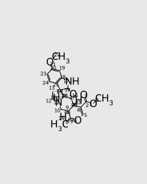 COC(=O)C1=CO[C@@H](C)[C@@H]2CN3CC[C@]4(C(=O)Nc5cc(OC)ccc54)[C@H]3C[C@H]12